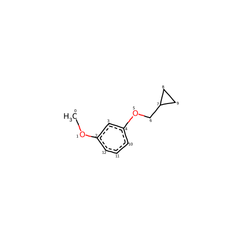 COc1[c]c(OCC2CC2)ccc1